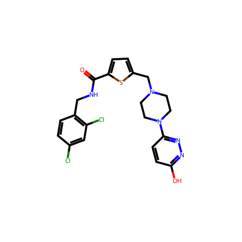 O=C(NCc1ccc(Cl)cc1Cl)c1ccc(CN2CCN(c3ccc(O)nn3)CC2)s1